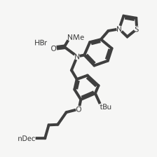 Br.CCCCCCCCCCCCCCOc1cc(CN(C(=O)NC)c2cccc(CN3C=CSC3)c2)ccc1C(C)(C)C